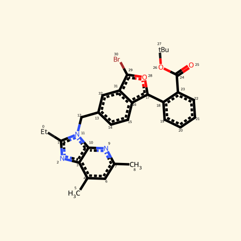 CCc1nc2c(C)cc(C)nc2n1Cc1ccc2c(-c3ccccc3C(=O)OC(C)(C)C)oc(Br)c2c1